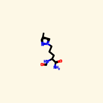 Cc1cnn(CCCC(NC=O)C(N)=O)c1